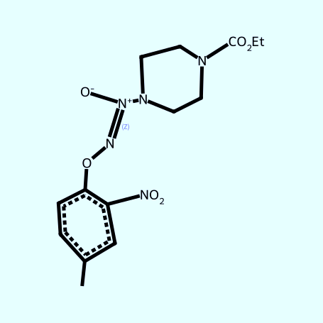 CCOC(=O)N1CCN(/[N+]([O-])=N/Oc2ccc(C)cc2[N+](=O)[O-])CC1